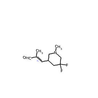 C/C(C=O)=C\C1CN(C)CC(F)(F)C1